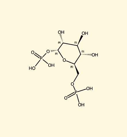 O=P(O)(O)OC[C@H]1O[C@H](OP(=O)(O)O)[C@H](O)[C@@H](O)[C@@H]1O